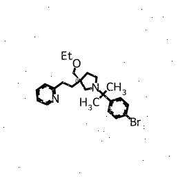 CCOC[C@@]1(CCc2ccccn2)CCN(C(C)(C)c2ccc(Br)cc2)C1